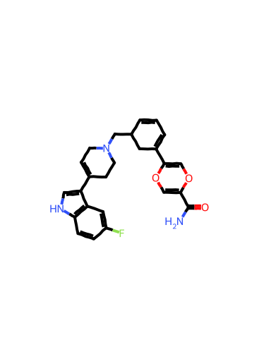 NC(=O)C1=COC(C2=CC=CC(CN3CC=C(c4c[nH]c5ccc(F)cc45)CC3)C2)=CO1